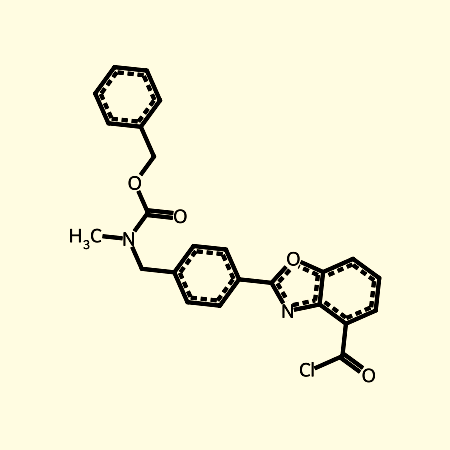 CN(Cc1ccc(-c2nc3c(C(=O)Cl)cccc3o2)cc1)C(=O)OCc1ccccc1